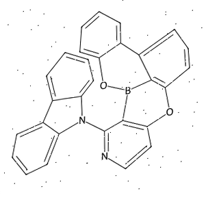 c1ccc2c(c1)OB1c3c(cccc3-2)Oc2ccnc(-n3c4ccccc4c4ccccc43)c21